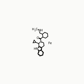 CNCC1CCCCC1C(=O)N1CCc2c([nH]c3ccccc23)C1C1CC1.[Fe]